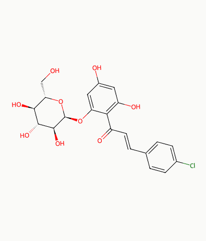 O=C(C=Cc1ccc(Cl)cc1)c1c(O)cc(O)cc1O[C@@H]1O[C@@H](CO)[C@H](O)[C@@H](O)[C@@H]1O